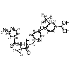 CC(O)c1ccc(Oc2ccc(CNC(=O)C3(NC(=O)c4ccnc(N)c4)CC3)nc2)c(C(F)(F)F)c1